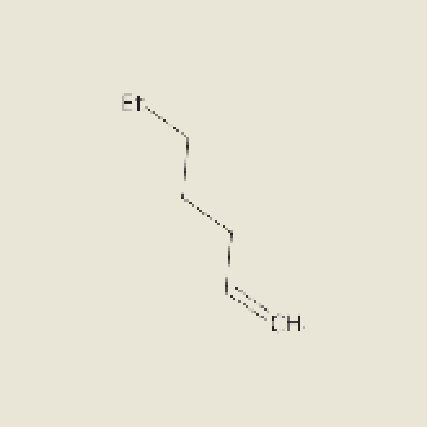 [CH]=CCCCCC